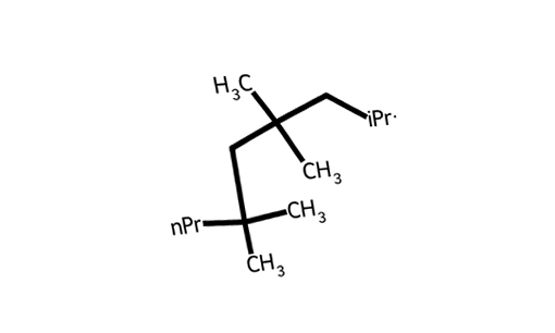 CCCC(C)(C)CC(C)(C)C[C](C)C